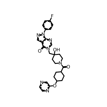 O=C(C1CCC(Oc2cnccn2)CC1)N1CCC(O)(Cn2cnc3c(cnn3-c3ccc(F)cc3)c2=O)CC1